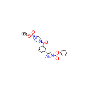 CC(C)(C)OC(=O)N1CCN(C(=O)c2cccc(-c3cn(C(=O)Oc4ccccc4)cn3)c2)CC1